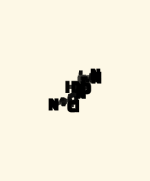 CC[C@H]1[C@H](C(=O)Nc2cc3cc([C@H]4C[C@H](C#N)C4)c(Cl)cc3cn2)[C@H]1c1cnn(C)c1